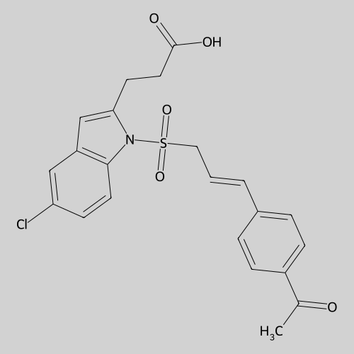 CC(=O)c1ccc(C=CCS(=O)(=O)n2c(CCC(=O)O)cc3cc(Cl)ccc32)cc1